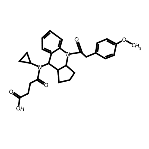 COc1ccc(CC(=O)N2c3ccccc3C(N(C(=O)CCC(=O)O)C3CC3)C3CCCC32)cc1